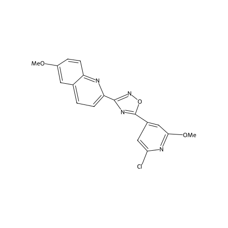 COc1ccc2nc(-c3noc(-c4cc(Cl)nc(OC)c4)n3)ccc2c1